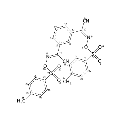 Cc1ccc(S(=O)(=O)ON=C(C#N)c2cccc(C(C#N)=NOS(=O)(=O)c3ccc(C)cc3)c2)cc1